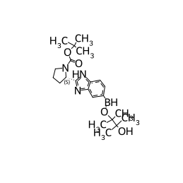 CC(C)(C)OC(=O)N1CCC[C@H]1c1nc2cc(BOC(C)(C)C(C)(C)O)ccc2[nH]1